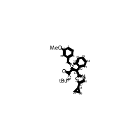 COc1cccc(Cn2c(C(=O)OC(C)(C)C)c(-c3ncc(C4CC4)s3)c3ccccc32)c1